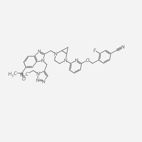 CCn1nncc1Cn1c(CN2CCN(c3cccc(OCc4ccc(C#N)cc4F)n3)C3CC32)nc2ccc(C(C)=O)cc21